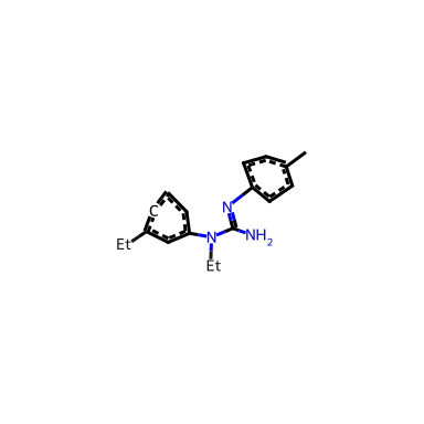 CCc1cccc(N(CC)C(N)=Nc2ccc(C)cc2)c1